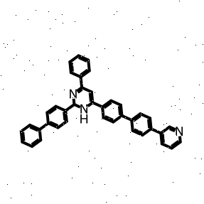 C1=C(c2ccc(-c3ccc(-c4cccnc4)cc3)cc2)NC(c2ccc(-c3ccccc3)cc2)N=C1c1ccccc1